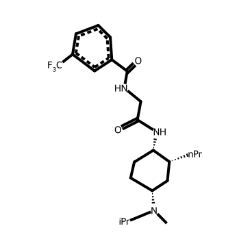 CCC[C@@H]1C[C@H](N(C)C(C)C)CC[C@@H]1NC(=O)CNC(=O)c1cccc(C(F)(F)F)c1